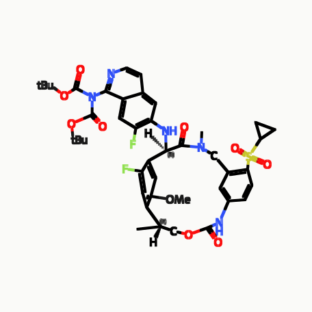 COc1cc2c(F)cc1[C@@H](C)COC(=O)Nc1ccc(S(=O)(=O)C3CC3)c(c1)CN(C)C(=O)[C@@H]2Nc1cc2ccnc(N(C(=O)OC(C)(C)C)C(=O)OC(C)(C)C)c2cc1F